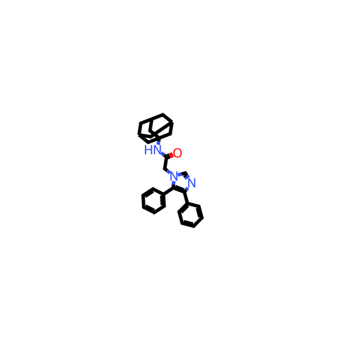 O=C(Cn1cnc(-c2ccccc2)c1-c1ccccc1)NC12CC3CC(CC(C3)C1)C2